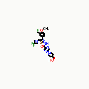 COc1ccc(-c2nc(NC(=O)c3cnc(N4CCC(C(=O)O)CC4)cn3)sc2CN2CC(F)(F)C2)cc1CF